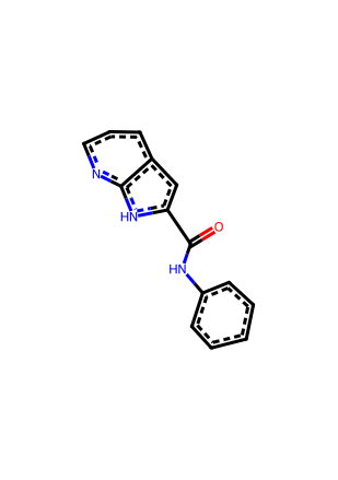 O=C(Nc1ccccc1)c1cc2cccnc2[nH]1